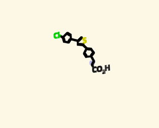 O=C(O)/C=C/c1ccc(-c2cc(-c3ccc(Cl)cc3)cs2)cc1